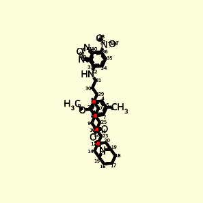 COc1ccc(C)cc1CC(=O)OC1CC2CCCC(C1)N2CCCCCCCCCCNc1ccc([N+](=O)[O-])c2nonc12